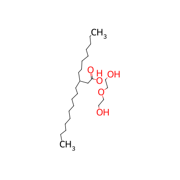 CCCCCCCCCCC(CCCCCCCC)CC(=O)O.OCCOCCO